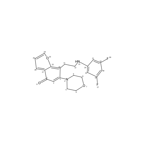 O=c1cc(N2CCOCC2)c(CCNc2cc(F)cc(F)c2)c2occcc1-2